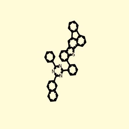 c1ccc(-c2nc(-c3ccc4ccccc4c3)nc(-c3ccccc3-c3cccc4c3sc3c5cccc6c5c(cc43)-c3ccccc3-6)n2)cc1